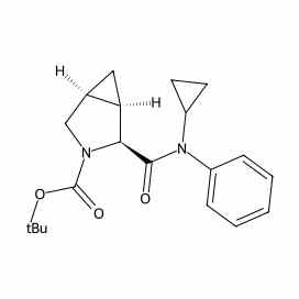 CC(C)(C)OC(=O)N1C[C@H]2C[C@H]2[C@H]1C(=O)N(c1ccccc1)C1CC1